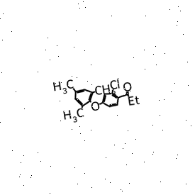 CCC(=O)c1ccc(Oc2c(C)cc(C)cc2C)cc1Cl